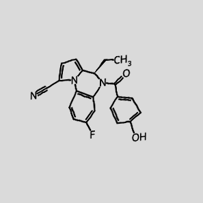 CC[C@@H]1c2ccc(C#N)n2-c2ccc(F)cc2N1C(=O)c1ccc(O)cc1